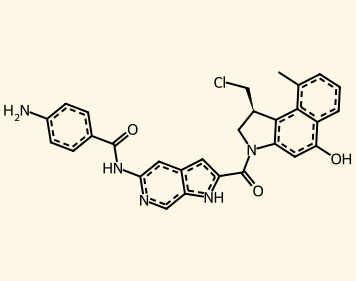 Cc1cccc2c(O)cc3c(c12)[C@H](CCl)CN3C(=O)c1cc2cc(NC(=O)c3ccc(N)cc3)ncc2[nH]1